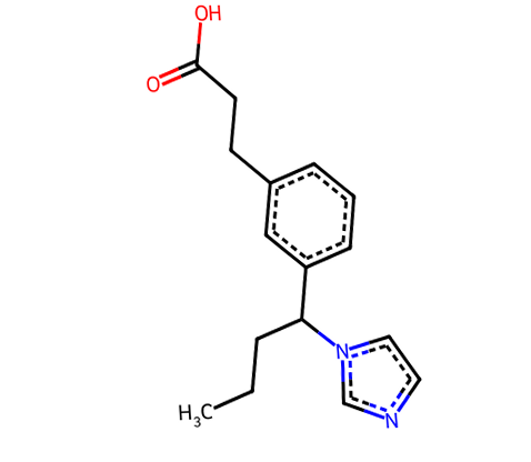 CCCC(c1cccc(CCC(=O)O)c1)n1ccnc1